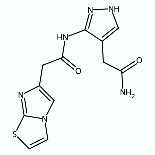 NC(=O)Cc1c[nH]nc1NC(=O)Cc1cn2ccsc2n1